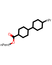 CCCCCOC(=O)C1CCC(C2CCC(CCC)CC2)CC1